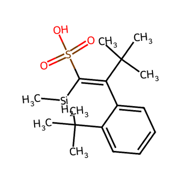 C[SiH2]C(=C(c1ccccc1C(C)(C)C)C(C)(C)C)S(=O)(=O)O